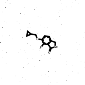 O=C1NCc2ccc(OCC3CC3)c(F)c21